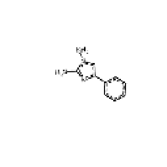 Nc1nc(-c2ccccc2)cn1N